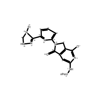 CCCCCNc1cc2c(c(Cl)n1)CN(c1cccc(C3=NNCN3CC)n1)C2=O